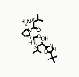 CC(C)[C@H](N)C(=O)N1CCC[C@H]1C(=O)N[C@@H](C(C)C)[C@H](O)c1nnc(C(C)(C)C)o1